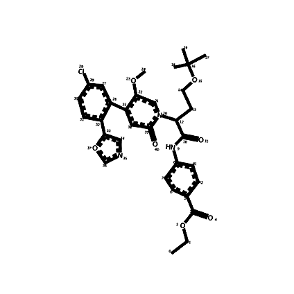 CCOC(=O)c1ccc(NC(=O)C(CCOC(C)(C)C)n2cc(OC)c(-c3cc(Cl)ccc3-c3cnco3)cc2=O)cc1